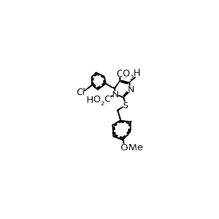 COc1ccc(CSC2=NC(C)=C(C(=O)O)C(c3cccc(Cl)c3)N2C(=O)O)cc1